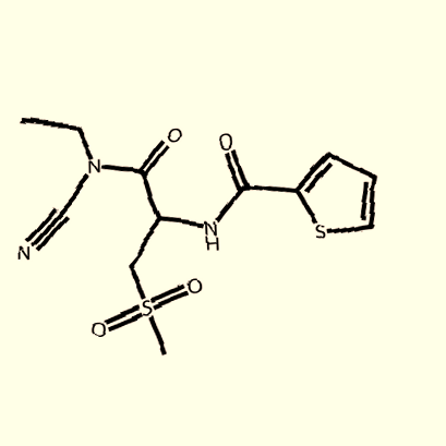 CCN(C#N)C(=O)C(CS(C)(=O)=O)NC(=O)c1cccs1